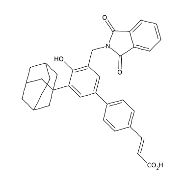 O=C(O)C=Cc1ccc(-c2cc(CN3C(=O)c4ccccc4C3=O)c(O)c(C34CC5CC(CC(C5)C3)C4)c2)cc1